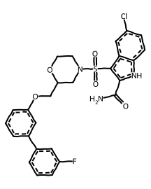 NC(=O)c1[nH]c2ccc(Cl)cc2c1S(=O)(=O)N1CCOC(COc2cccc(-c3cccc(F)c3)c2)C1